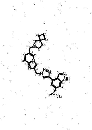 C[Si](=O)c1cc(-c2cn(Cc3cn4cc(CN5CCC6(CCC6)C5)ccc4n3)nn2)c2cn[nH]c2c1